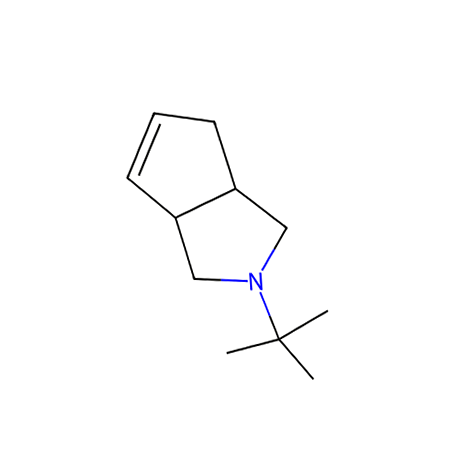 CC(C)(C)N1CC2C=CCC2C1